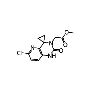 COC(=O)CN1C(=O)Nc2ccc(Cl)nc2C12CC2